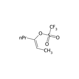 CC=C(CCC)OS(=O)(=O)C(F)(F)F